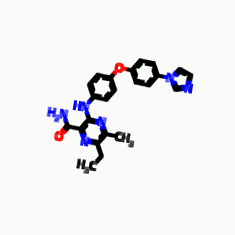 CCc1nc(C(N)=O)c(Nc2ccc(Oc3ccc(-n4ccnc4)cc3)cc2)nc1C